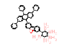 Bc1c(B)c(B)c(-c2ccc3c(c2)oc2ccc(-c4c5ccc(-c6ccccc6)cc5c(-c5ccccc5)c5ccc(-c6ccccc6)cc45)cc23)c(B)c1B